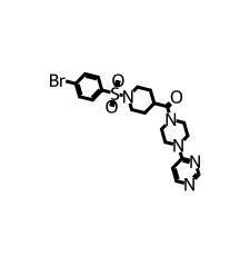 O=C(C1CCN(S(=O)(=O)c2ccc(Br)cc2)CC1)N1CCN(c2ccncn2)CC1